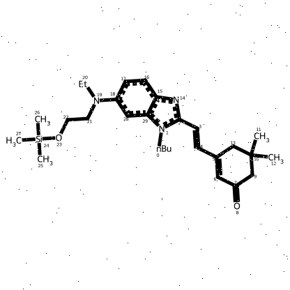 CCCCn1c(C=CC2=CC(=O)CC(C)(C)C2)nc2ccc(N(CC)CCO[Si](C)(C)C)cc21